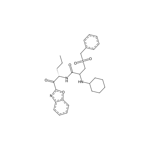 CCC[C@H](NC(=O)C(CS(=O)(=O)Cc1ccccc1)NC1CCCCC1)C(=O)c1nc2ccccc2o1